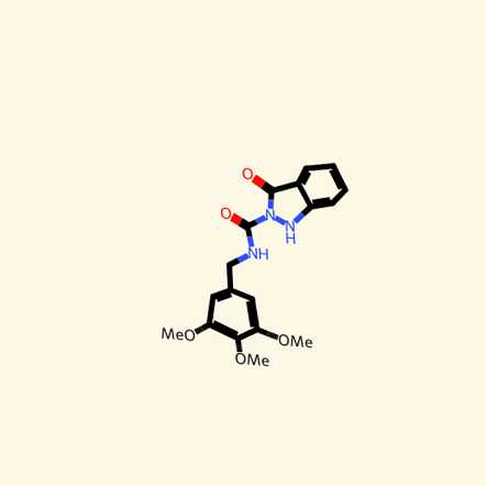 COc1cc(CNC(=O)n2[nH]c3ccccc3c2=O)cc(OC)c1OC